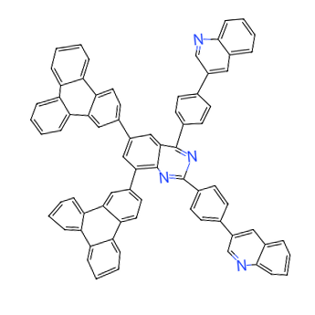 c1ccc2ncc(-c3ccc(-c4nc(-c5ccc(-c6cnc7ccccc7c6)cc5)c5cc(-c6ccc7c8ccccc8c8ccccc8c7c6)cc(-c6ccc7c8ccccc8c8ccccc8c7c6)c5n4)cc3)cc2c1